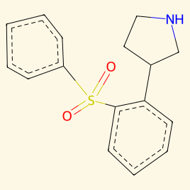 O=S(=O)(c1ccccc1)c1ccccc1C1CCNC1